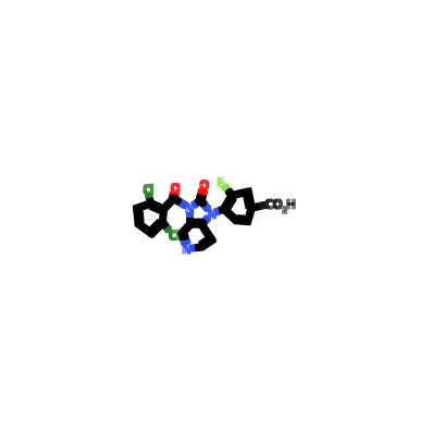 O=C(O)c1ccc(-n2c(=O)n(C(=O)c3c(Cl)cccc3Cl)c3cnccc32)c(F)c1